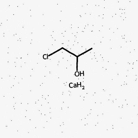 CC(O)CCl.[CaH2]